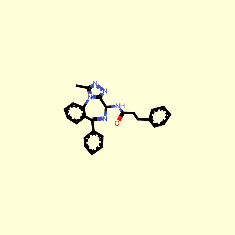 Cc1nnc2n1-c1ccccc1C(c1ccccc1)=NC2NC(=O)CCc1ccccc1